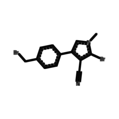 Cn1cc(-c2ccc(CBr)cc2)c(C#N)c1Br